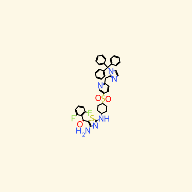 Nc1nc(NC2CCC(S(=O)(=O)c3ccc(Cc4nccn4C(c4ccccc4)(c4ccccc4)c4ccccc4)nc3)CC2)sc1C(=O)c1c(F)cccc1F